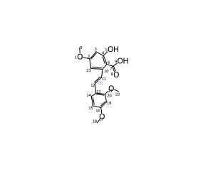 COc1cc(O)c(C(=O)O)c(/C=C/c2ccc(OC)cc2OC)c1